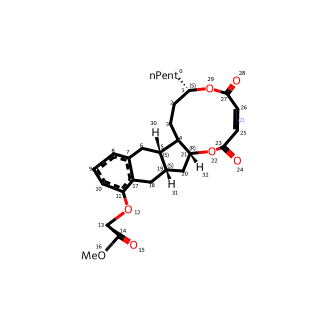 CCCCC[C@H]1CCC2[C@H]3Cc4cccc(OCC(=O)OC)c4C[C@H]3C[C@H]2OC(=O)/C=C\C(=O)O1